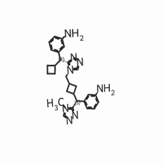 Cn1cnnc1[C@H](c1cccc(N)c1)C1CC(Cn2cnnc2[C@@H](c2cccc(N)c2)C2CCC2)C1